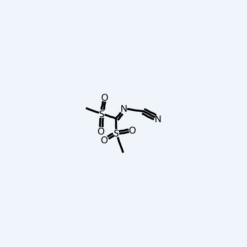 CS(=O)(=O)C(=NC#N)S(C)(=O)=O